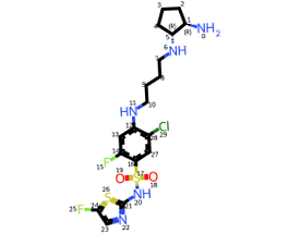 N[C@@H]1CCC[C@H]1NCCCCNc1cc(F)c(S(=O)(=O)Nc2ncc(F)s2)cc1Cl